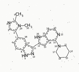 Cc1ncc(-c2ccc3[nH]nc(-c4cc5c(N6CCCCC6)nccc5[nH]4)c3c2)n1C